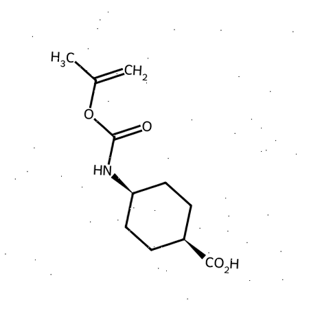 C=C(C)OC(=O)N[C@H]1CC[C@@H](C(=O)O)CC1